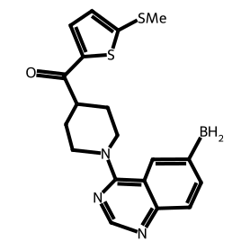 Bc1ccc2ncnc(N3CCC(C(=O)c4ccc(SC)s4)CC3)c2c1